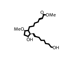 COC(=O)C=CCCCCC1[C@@H](OC)C[C@@H](O)[C@@H]1/C=C/CCCCCCO